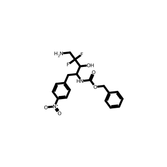 NCC(F)(F)C(O)C(Cc1ccc([N+](=O)[O-])cc1)NC(=O)OCc1ccccc1